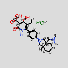 CCc1c(-c2ccc(N3C[C@H]4CCCC[C@@]4(CN(C)C)C3)cc2)[nH]c(=O)c(C(=O)O)c1O.Cl